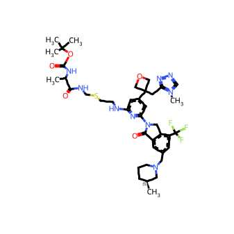 CC(NC(=O)OC(C)(C)C)C(=O)NCSCCNc1cc(C2(Cc3nncn3C)COC2)cc(N2Cc3c(cc(CN4CCC[C@H](C)C4)cc3C(F)(F)F)C2=O)n1